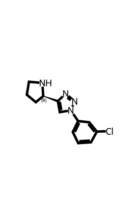 Clc1cccc(-n2cc([C@H]3CCCN3)nn2)c1